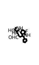 O=CC(CN[C@@H]1C(=O)NC[C@H]1O)Cc1c(-c2ccccc2)[nH]c2c(F)cccc12